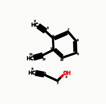 C#CCO.C#Cc1ccccc1C#C